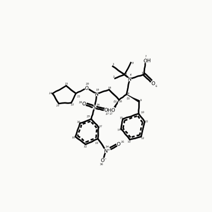 CC(C)(C)N(C(=O)O)[C@@H](Cc1ccccc1)[C@@H](O)CN(OC1CCCC1)S(=O)(=O)c1cccc([N+](=O)[O-])c1